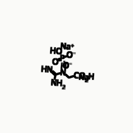 N=C(N)NCC(=O)O.O=P([O-])([O-])O.[Na+].[Na+]